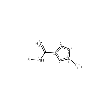 C=C(NC(C)C)c1cn(C)cn1